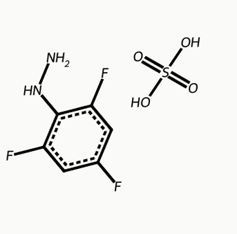 NNc1c(F)cc(F)cc1F.O=S(=O)(O)O